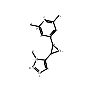 Cc1cc(C2OC2c2cnnn2C)cc(C)n1